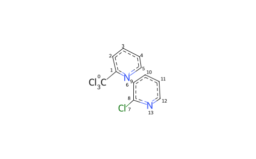 ClC(Cl)(Cl)c1ccccn1.Clc1ccccn1